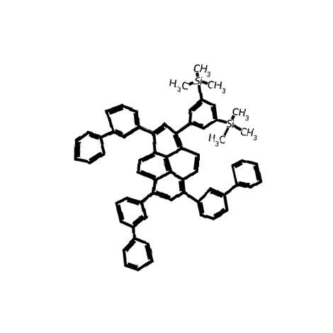 C[Si](C)(C)c1cc(-c2cc(-c3cccc(-c4ccccc4)c3)c3ccc4c(-c5cccc(-c6ccccc6)c5)cc(-c5cccc(-c6ccccc6)c5)c5ccc2c3c45)cc([Si](C)(C)C)c1